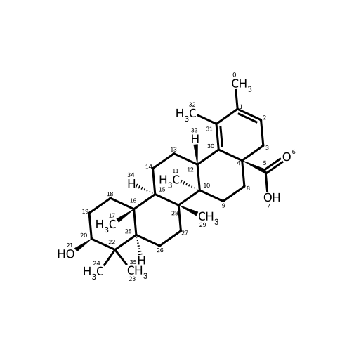 CC1=CC[C@]2(C(=O)O)CC[C@]3(C)[C@H](CC[C@@H]4[C@@]5(C)CC[C@H](O)C(C)(C)[C@@H]5CC[C@]43C)C2=C1C